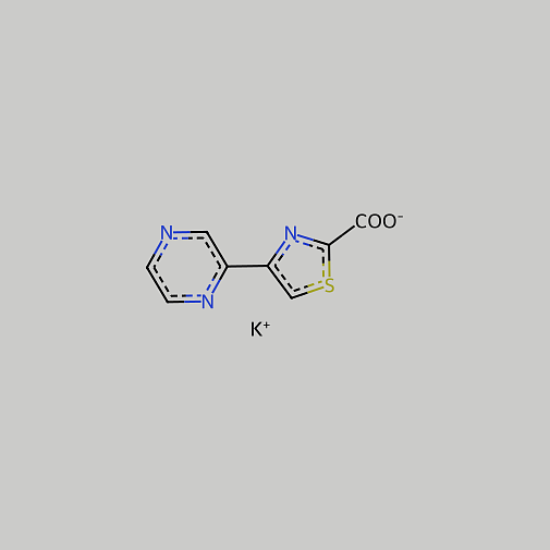 O=C([O-])c1nc(-c2cnccn2)cs1.[K+]